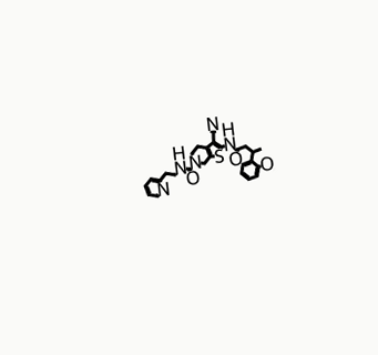 COc1ccccc1C(C)CC(=O)Nc1sc2c(c1C#N)CCN(C(=O)NCCc1ccccn1)C2